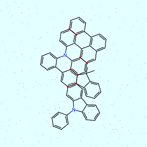 CC1(C)c2ccccc2-c2ccc(-c3ccccc3N(c3cccc(-c4ccc5c(c4)c4ccccc4n5-c4ccccc4)c3)c3ccccc3-c3cccc4cccc(-c5ccccc5)c34)cc21